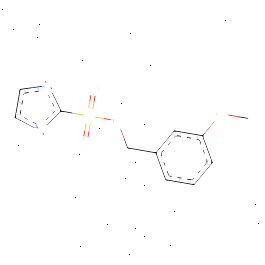 COc1cccc(COS(=O)(=O)c2ncc[nH]2)c1